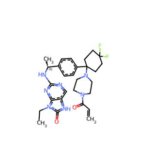 C=CC(=O)N1CCN(C2(c3ccc([C@H](C)Nc4ncc5[nH]c(=O)n(CC)c5n4)cc3)CCC(F)(F)CC2)CC1